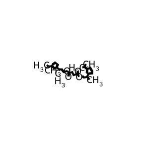 CC(C)c1cccc(C(C)C=COC(=O)CCC(=O)OC=CC(C)c2cccc(C(C)C)c2)c1